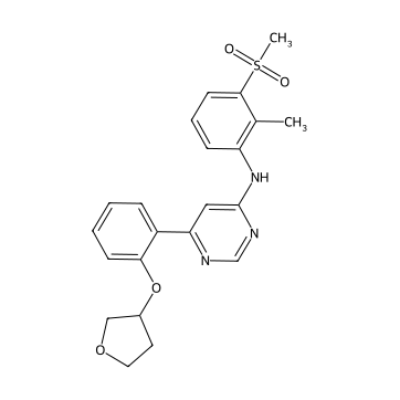 Cc1c(Nc2cc(-c3ccccc3OC3CCOC3)ncn2)cccc1S(C)(=O)=O